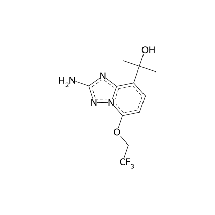 CC(C)(O)c1ccc(OCC(F)(F)F)n2nc(N)nc12